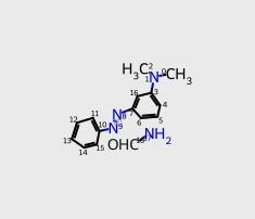 CN(C)c1cccc(/N=N/c2ccccc2)c1.NC=O